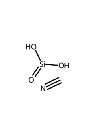 C#N.O=[Si](O)O